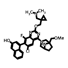 COCC12CCC(CN(c3nc(OCC4(CN(C)C)CC4)nc4c(F)c(-c5cc(O)cc6ccccc56)c(Cl)cc34)C1)N2